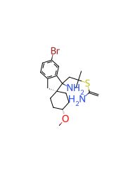 C=C(N)SC(C)(C)CC1(N)c2cc(Br)ccc2C[C@]12CC[C@@H](OC)CC2